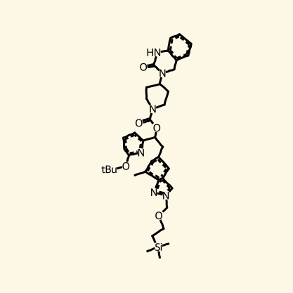 Cc1cc(CC(OC(=O)N2CCC(N3Cc4ccccc4NC3=O)CC2)c2cccc(OC(C)(C)C)n2)cc2cn(COCC[Si](C)(C)C)nc12